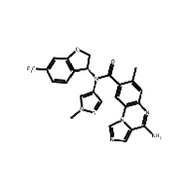 Cc1cc2nc(N)c3cncn3c2cc1C(=O)N(c1cnn(C)c1)[C@@H]1COc2cc(C(F)(F)F)ccc21